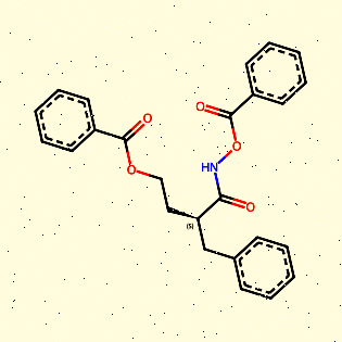 O=C(OCC[C@H](Cc1ccccc1)C(=O)NOC(=O)c1ccccc1)c1ccccc1